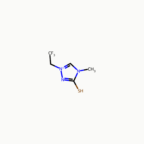 Cn1c[n+](CC(F)(F)F)nc1S